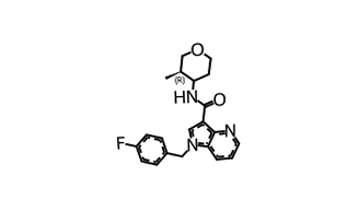 C[C@H]1COCCC1NC(=O)c1cn(Cc2ccc(F)cc2)c2cccnc12